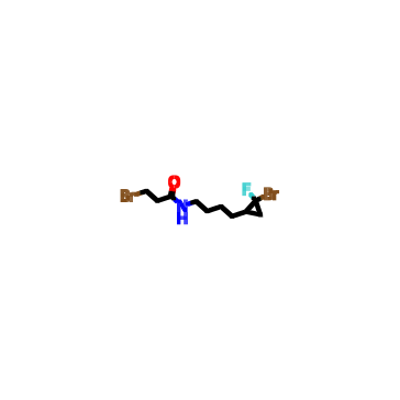 O=C(CCBr)NCCCCC1CC1(F)Br